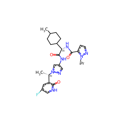 CC1CCC([C@H](NC(=O)c2ccnn2C(C)C)C(=O)Nc2cnn([C@@H](C)c3cc(F)c[nH]c3=O)c2)CC1